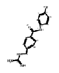 N=C(N)NCc1ccc(C(=O)Nc2ccc(Br)cc2)cc1